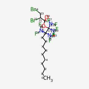 CCCCCCCCCCC(N(F)F)(N(F)F)C(OC(=O)C(Br)CBr)(N(F)F)N(F)F